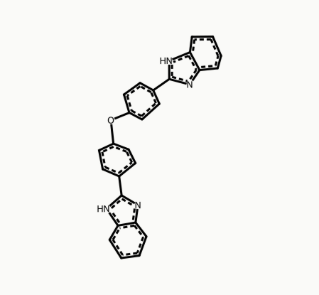 c1ccc2[nH]c(-c3ccc(Oc4ccc(-c5nc6ccccc6[nH]5)cc4)cc3)nc2c1